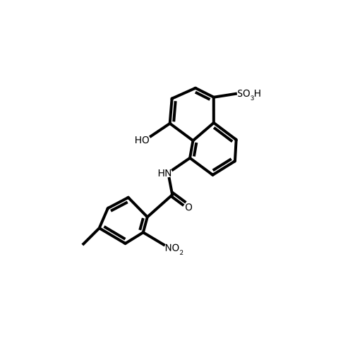 Cc1ccc(C(=O)Nc2cccc3c(S(=O)(=O)O)ccc(O)c23)c([N+](=O)[O-])c1